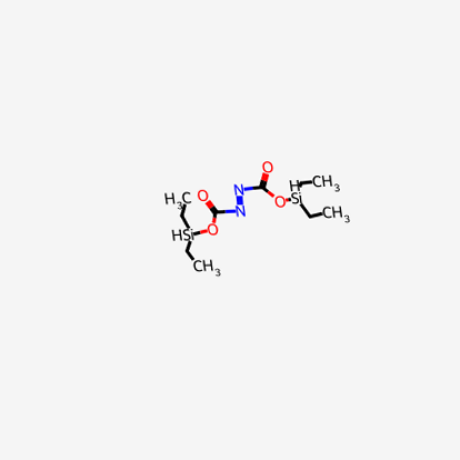 CC[SiH](CC)OC(=O)N=NC(=O)O[SiH](CC)CC